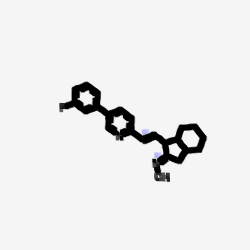 O/N=C1\CC2CCCCC2C1/C=C/c1ccc(-c2cccc(F)c2)cn1